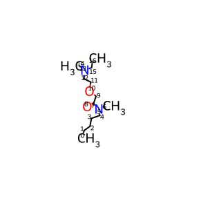 CCCCCN(C)C(=O)COCCN(C)CC